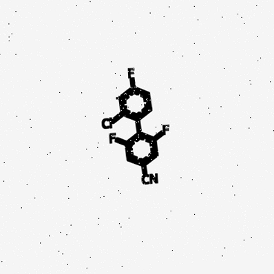 N#Cc1cc(F)c(-c2ccc(F)[c]c2Cl)c(F)c1